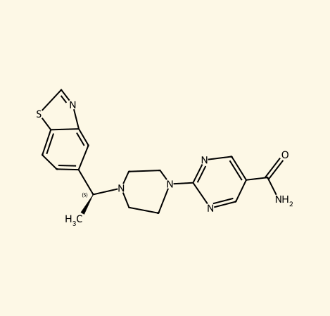 C[C@@H](c1ccc2scnc2c1)N1CCN(c2ncc(C(N)=O)cn2)CC1